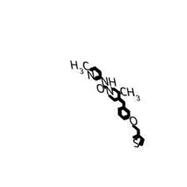 Cc1ccc(NC(=O)N2CC/C(=C\c3cccc(OCCc4ccsc4)c3)C(C)C2)cn1